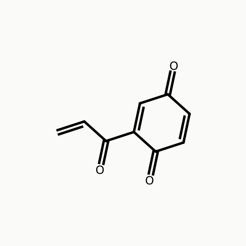 C=CC(=O)C1=CC(=O)C=CC1=O